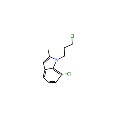 Cc1cc2cccc(Cl)c2n1CCCCl